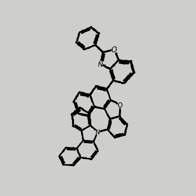 c1ccc(-c2nc3c(-c4cc5ccccc5c5c4oc4cccc(-n6c7ccccc7c7c8ccccc8ccc76)c45)cccc3o2)cc1